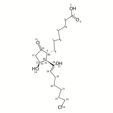 O=C(O)CCCCCC[C@H]1C(=O)C[C@H](O)[C@@H]1C(O)=CCCCCCCl